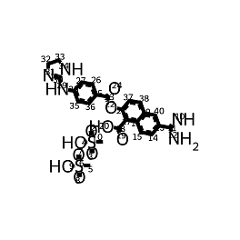 CS(=O)(=O)O.CS(=O)(=O)O.N=C(N)c1ccc2c(C(=O)O)c(OC(=O)c3ccc(NC4=NCCN4)cc3)ccc2c1